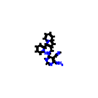 N#Cc1c(N)ncnc1NCc1cc2ccccn2c1-c1ccccn1